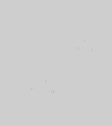 CCN(CC)c1ccc(C(=C(c2ccccc2)c2ccc(C=O)cc2)c2ccc(N(CC)CC)cc2)cc1